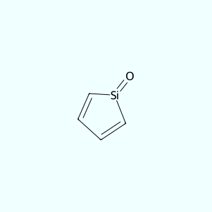 O=[Si]1C=CC=C1